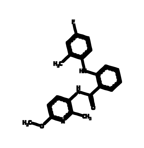 COc1ccc(NC(=O)c2ccccc2Nc2ccc(F)cc2C)c(C)n1